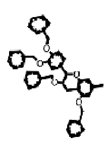 Cc1cc(OCc2ccccc2)c2c(c1)OC(c1ccc(OCc3ccccc3)c(OCc3ccccc3)c1)C(OCc1ccccc1)C2